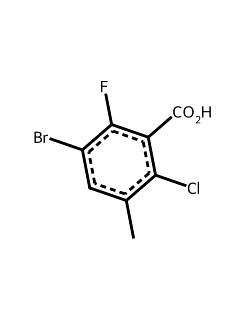 Cc1cc(Br)c(F)c(C(=O)O)c1Cl